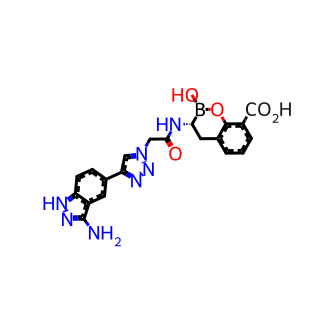 Nc1n[nH]c2ccc(-c3cn(CC(=O)N[C@H]4Cc5cccc(C(=O)O)c5OB4O)nn3)cc12